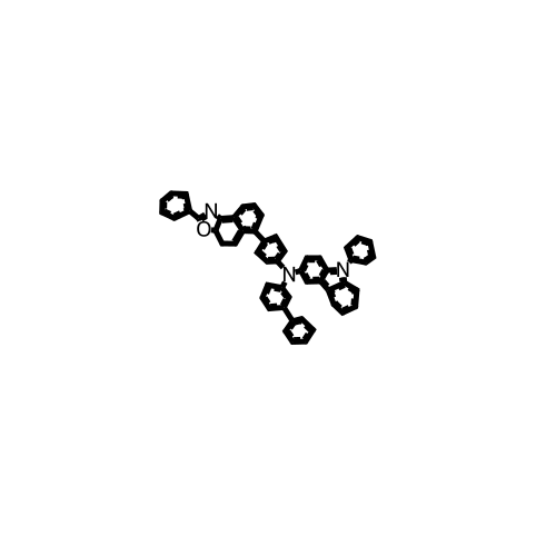 C1=c2c(-c3ccc(N(c4cccc(-c5ccccc5)c4)c4ccc5c(c4)c4ccccc4n5-c4ccccc4)cc3)cccc2=C2N=C(c3ccccc3)OC2C1